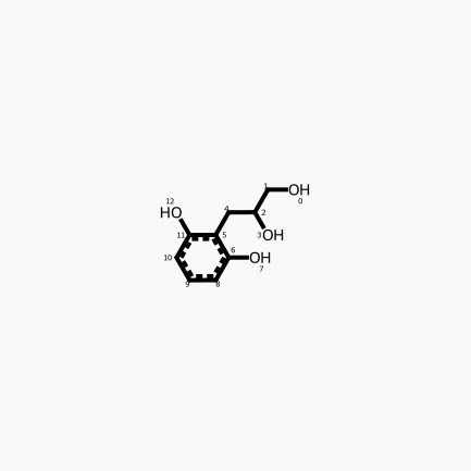 OCC(O)Cc1c(O)cccc1O